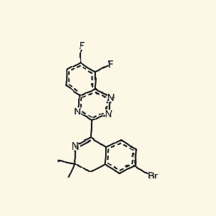 CC1(C)Cc2cc(Br)ccc2C(c2nnc3c(F)c(F)ccc3n2)=N1